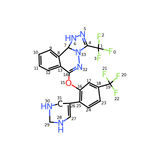 FC(F)(F)C1=NNC2c3ccccc3C(Oc3cc(C(F)(F)F)ccc3C3=CNCNC3)=NN12